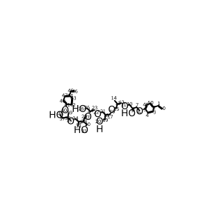 C=Cc1ccc(OCC(O)COCC(C)COCC(CO)COCC(CO)OCC(CO)C(C)COC(CO)COc2ccc(C=C)cc2)cc1